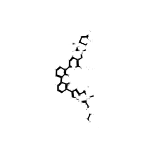 COc1nc(-c2cccc(-c3cccc(-c4cc5c(=O)n(C)c(CNCCC(=O)O)nn5c4)c3Cl)c2Cl)ccc1CN(C[C@@H]1CCC(=O)N1)C(=O)OC(C)(C)C